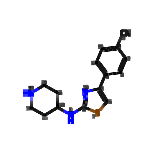 N#Cc1ccc(-c2csc(NC3CCNCC3)n2)cc1